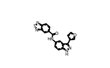 O=C(Nc1ccc2[nH]nc(-c3ccoc3)c2c1)c1ccc2nsnc2c1